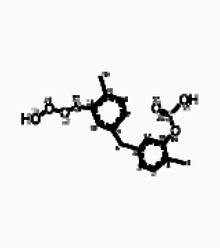 Cc1ccc(Cc2ccc(C)c(SOOO)c2)cc1OS(=O)O